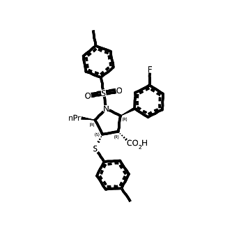 CCC[C@@H]1[C@@H](Sc2ccc(C)cc2)[C@@H](C(=O)O)[C@H](c2cccc(F)c2)N1S(=O)(=O)c1ccc(C)cc1